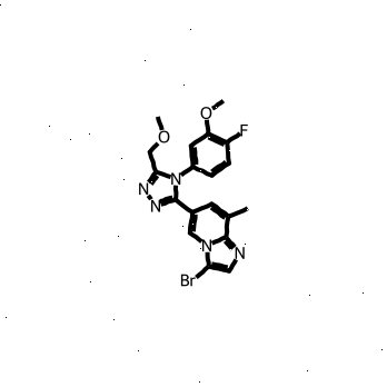 COCc1nnc(-c2cc(C)c3ncc(Br)n3c2)n1-c1ccc(F)c(OC)c1